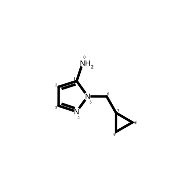 Nc1ccnn1CC1CC1